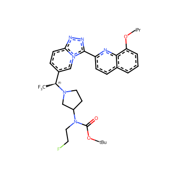 CC(C)Oc1cccc2ccc(-c3nnc4ccc([C@@H](N5CCC(N(CCF)C(=O)OC(C)(C)C)C5)C(F)(F)F)cn34)nc12